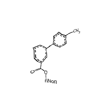 CCCCCCCCCOC(=O)c1cccc(-c2ccc(C)cc2)c1